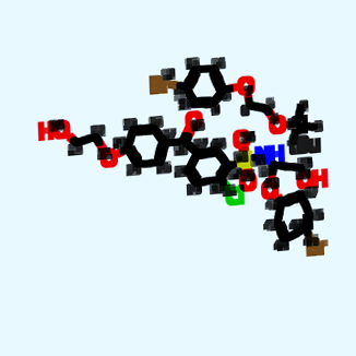 CC(C)(C)[Si](C)(C)OCCOc1ccc(Br)cc1.O=C(c1ccc(OCCO)cc1)c1ccc(Cl)c(S(=O)(=O)NC(CO)Oc2ccc(Br)cc2)c1